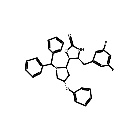 O=C1N[C@@H](Cc2cc(F)cc(F)c2)[C@@H]([C@H]2C[C@H](Oc3ccccc3)CN2C(c2ccccc2)c2ccccc2)O1